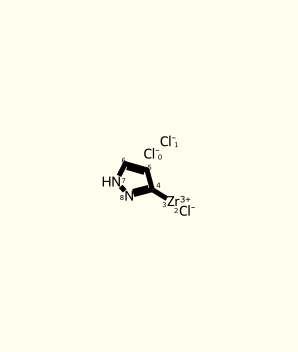 [Cl-].[Cl-].[Cl-].[Zr+3][c]1cc[nH]n1